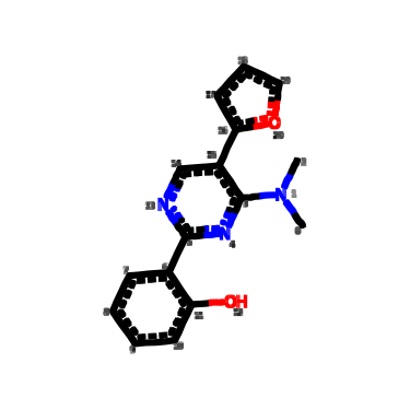 CN(C)c1nc(-c2ccccc2O)ncc1-c1ccco1